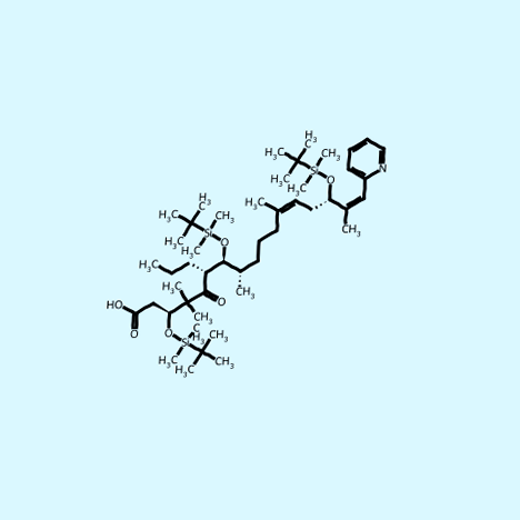 CCC[C@@H](C(=O)C(C)(C)[C@H](CC(=O)O)O[Si](C)(C)C(C)(C)C)[C@@H](O[Si](C)(C)C(C)(C)C)[C@@H](C)CCCC(C)=CC[C@H](O[Si](C)(C)C(C)(C)C)C(C)=Cc1ccccn1